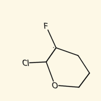 F[C]1CCCOC1Cl